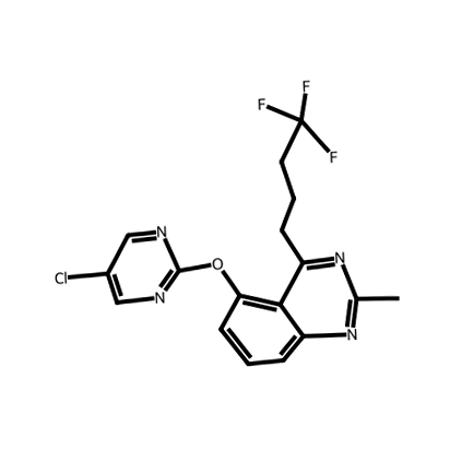 Cc1nc(CCCC(F)(F)F)c2c(Oc3ncc(Cl)cn3)cccc2n1